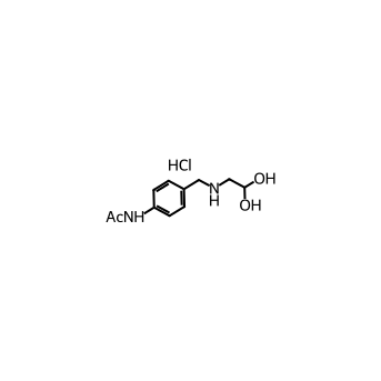 CC(=O)Nc1ccc(CNCC(O)O)cc1.Cl